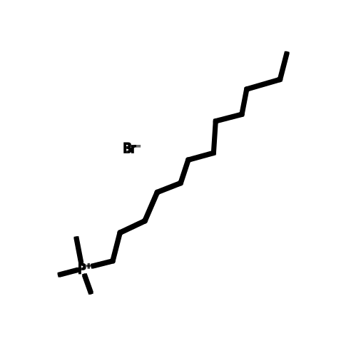 CCCCCCCCCCCC[P+](C)(C)C.[Br-]